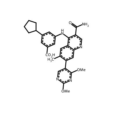 COc1ncc(-c2cc3ncc(C(N)=O)c(Nc4cc(C(=O)O)cc(C5CCCC5)c4)c3cc2C)c(OC)n1